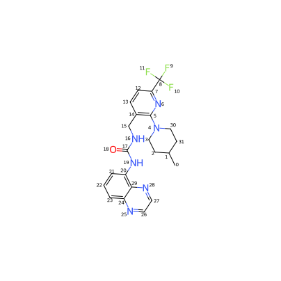 CC1CCN(c2nc(C(F)(F)F)ccc2CNC(=O)Nc2cccc3nccnc23)CC1